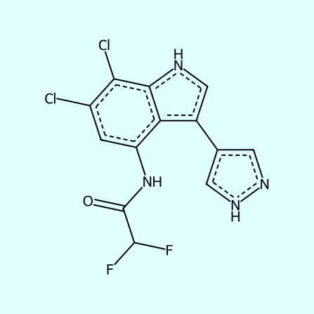 O=C(Nc1cc(Cl)c(Cl)c2[nH]cc(-c3cn[nH]c3)c12)C(F)F